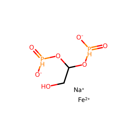 O=[PH]([O-])OC(CO)O[PH](=O)[O-].[Fe+2].[Na+]